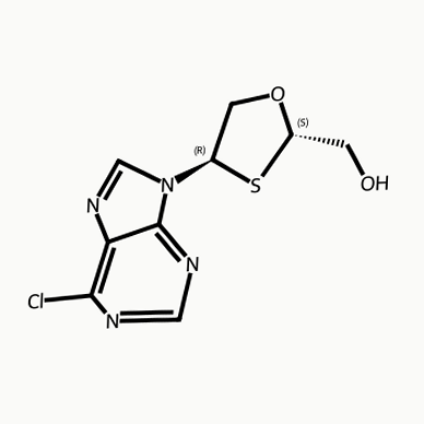 OC[C@H]1OC[C@H](n2cnc3c(Cl)ncnc32)S1